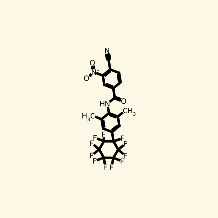 Cc1cc(C2(F)C(F)(F)C(F)(F)C(F)(F)C(F)(F)C2(F)F)cc(C)c1NC(=O)c1ccc(C#N)c([N+](=O)[O-])c1